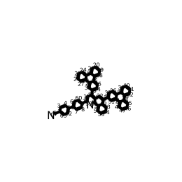 N#Cc1ccc(-c2ccc(-c3cc(-c4ccc5c6ccccc6c6ccccc6c5c4)c4cc(-c5ccc6c7ccccc7c7ccccc7c6c5)c5ccccc5c4n3)cc2)cc1